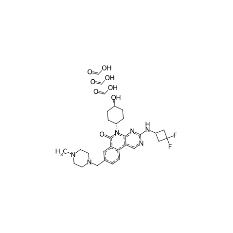 CN1CCN(Cc2ccc3c(c2)c(=O)n([C@H]2CC[C@H](O)CC2)c2nc(NC4CC(F)(F)C4)ncc32)CC1.O=CO.O=CO.O=CO